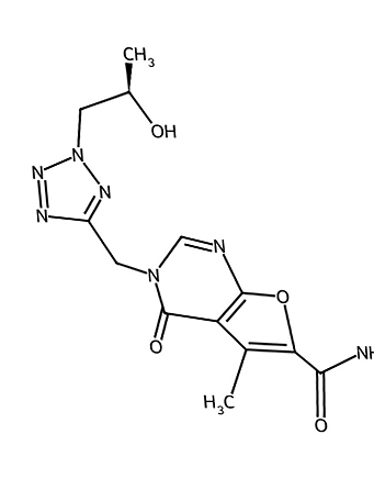 Cc1c(C(N)=O)oc2ncn(Cc3nnn(C[C@@H](C)O)n3)c(=O)c12